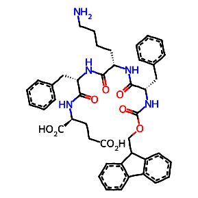 NCCCC[C@H](NC(=O)[C@H](Cc1ccccc1)NC(=O)OCC1c2ccccc2-c2ccccc21)C(=O)N[C@@H](Cc1ccccc1)C(=O)N[C@@H](CCC(=O)O)C(=O)O